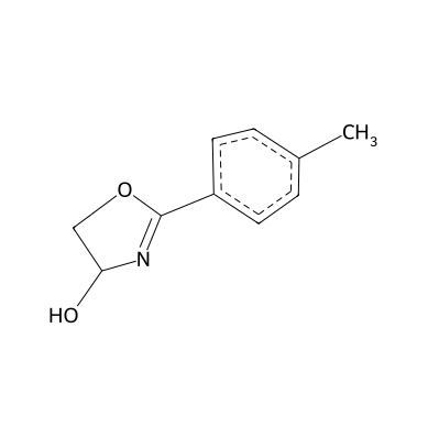 Cc1ccc(C2=NC(O)CO2)cc1